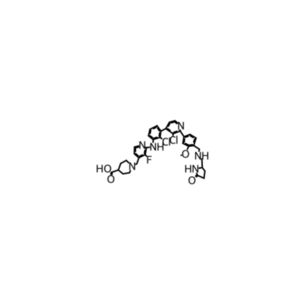 COc1cc(-c2nccc(-c3cccc(Nc4nccc(CN5CCC(C(=O)O)CC5)c4F)c3Cl)c2Cl)ccc1CNCC1CCC(=O)N1